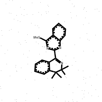 CSc1nc(C2=NC(C)(C)C(C)(C)c3ccccc32)nc2ccccc12